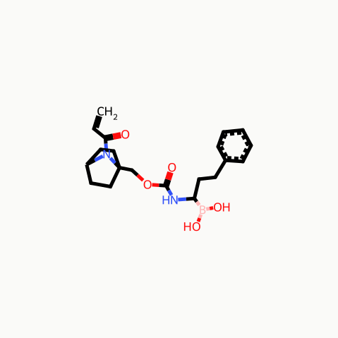 C=CC(=O)N1C2CCC1(COC(=O)NC(CCc1ccccc1)B(O)O)CC2